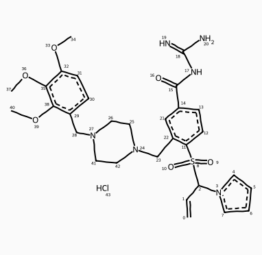 C=CC(n1cccc1)S(=O)(=O)c1ccc(C(=O)NC(=N)N)cc1CN1CCN(Cc2ccc(OC)c(OC)c2OC)CC1.Cl